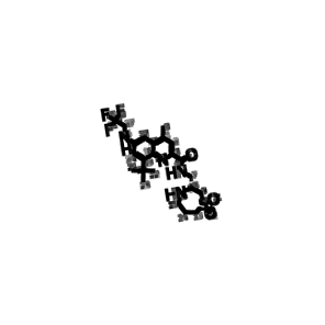 Cc1cc(C(=O)NC[C@@H]2CS(=O)(=O)CCCN2)nc2c(C(C)(C)C)cc(NCC(F)(F)F)cc12